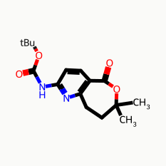 CC(C)(C)OC(=O)Nc1ccc2c(n1)CCC(C)(C)OC2=O